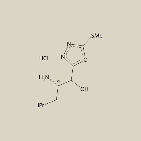 CSc1nnc(C(O)[C@@H](N)CC(C)C)o1.Cl